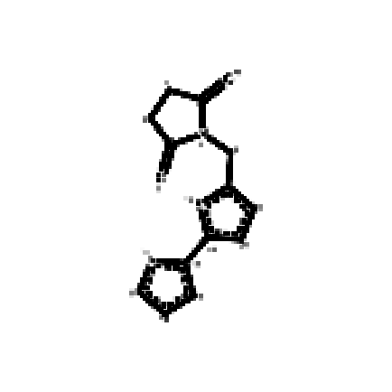 O=C1CCC(=O)N1Cc1ccc(-c2cccs2)s1